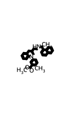 COC(=O)c1cc(N2CC(CCN[C@H](C)c3cccc4ccccc34)Cc3ccccc32)ccc1C